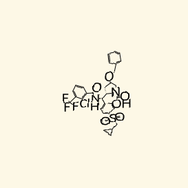 O=C(N[C@H](c1ccc(S(=O)(=O)CC2CC2)cc1)[C@@H]1C[C@@H](OCc2ccccc2)CN1C(=O)O)c1cccc(C(F)(F)F)c1Cl